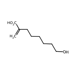 C=C(CCCCCCO)C(=O)O